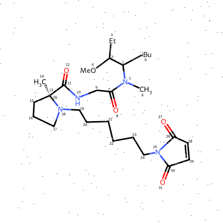 CCC(C)C(C(CC)OC)N(C)C(=O)CNC(=O)[C@]1(C)CCCN1CCCCCCN1C(=O)C=CC1=O